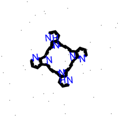 c1cnc2c(c1)-c1cc3[nH]c(cc4nc(cc5[nH]c(cc-2n1)c1ncccc51)-c1cccnc1-4)c1ncccc31